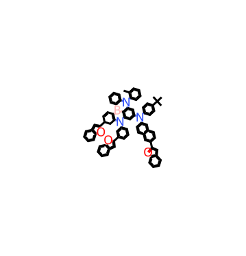 Cc1ccccc1N1c2ccccc2B2C3=C(CC(c4cc5ccccc5o4)C=C3)N(c3cccc(-c4cc5ccccc5o4)c3)c3cc(N(c4ccc(C(C)(C)C)cc4)c4ccc5cc(-c6cc7ccccc7o6)ccc5c4)cc1c32